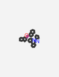 O=P(c1ccc2ccccc2c1)(c1ccc2ccccc2c1)c1ccc2c3ccccc3c3nc4ccccc4n3c2c1